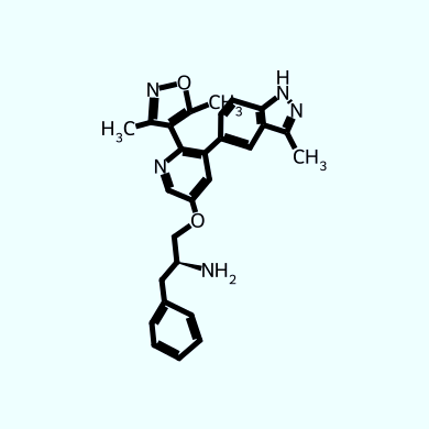 Cc1noc(C)c1-c1ncc(OC[C@@H](N)Cc2ccccc2)cc1-c1ccc2[nH]nc(C)c2c1